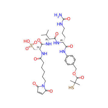 CC(C)[C@@H](NC(=O)[C@@H](CS(=O)(=O)O)NC(=O)CCCCCN1C(=O)C=CC1=O)C(=O)N[C@H](CCCNC(N)=O)C(=O)Nc1ccc(COC(=O)C(C)(C)S)cc1